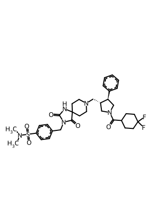 CN(C)S(=O)(=O)c1ccc(CN2C(=O)NC3(CCN(C[C@H]4CN(C(=O)C5CCC(F)(F)CC5)C[C@@H]4c4ccccc4)CC3)C2=O)cc1